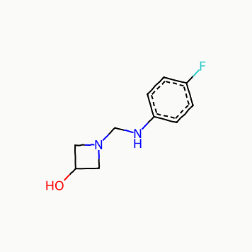 OC1CN(CNc2ccc(F)cc2)C1